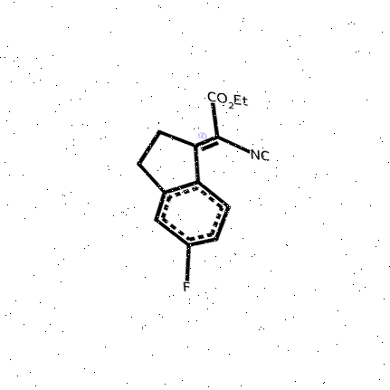 [C-]#[N+]/C(C(=O)OCC)=C1/CCc2cc(F)ccc21